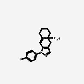 O=C(O)C12CCCCC1=Cc1c(cnn1-c1ccc(F)cc1)C2